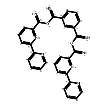 N=C(OC(=N)c1cccc(-c2ccccn2)n1)c1cccc(C(=N)OC(=N)c2cccc(-c3ccccn3)n2)c1